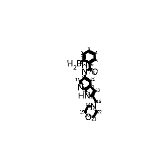 Bc1ccccc1C(=O)Nc1cnc2[nH]c(CN3CCOCC3)cc2c1